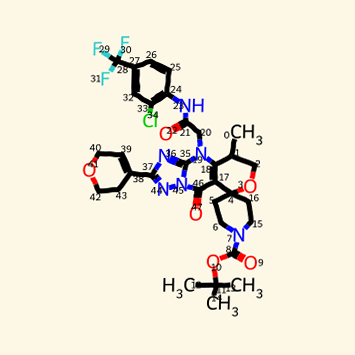 CC1COC2(CCN(C(=O)OC(C)(C)C)CC2)c2c1n(CC(=O)Nc1ccc(C(F)(F)F)cc1Cl)c1nc(C3=CCOCC3)nn1c2=O